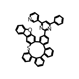 c1ccc(-c2cc(-c3cccnc3)nc(-c3ccc4c(c3)-c3cc5oc6ccccc6c5cc3Sc3ccccc3-c3ccccc3-c3ccccc3-4)n2)cc1